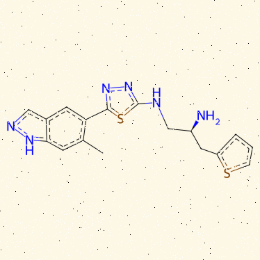 Cc1cc2[nH]ncc2cc1-c1nnc(NC[C@@H](N)Cc2cccs2)s1